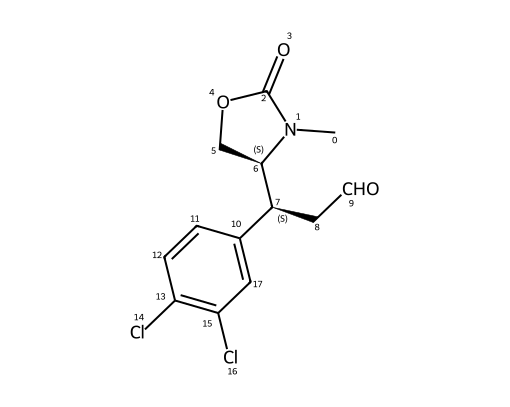 CN1C(=O)OC[C@@H]1[C@@H](CC=O)c1ccc(Cl)c(Cl)c1